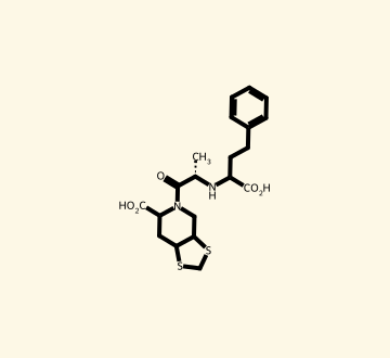 C[C@H](NC(CCc1ccccc1)C(=O)O)C(=O)N1CC2SCSC2CC1C(=O)O